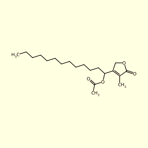 CCCCCCCCCCCCC(OC(C)=O)C1=C(C)C(=O)OC1